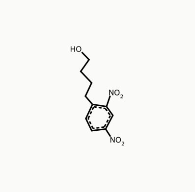 O=[N+]([O-])c1ccc(CCCCO)c([N+](=O)[O-])c1